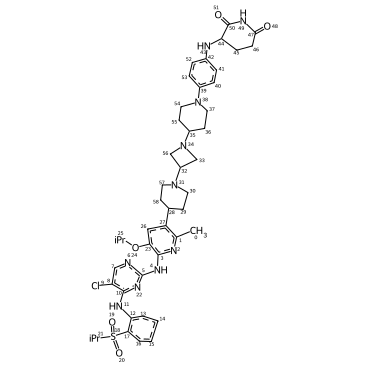 Cc1nc(Nc2ncc(Cl)c(Nc3ccccc3S(=O)(=O)C(C)C)n2)c(OC(C)C)cc1C1CCN(C2CN(C3CCN(c4ccc(NC5CCC(=O)NC5=O)cc4)CC3)C2)CC1